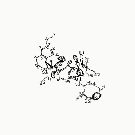 CCc1ccc2c(c1)CCC(CC)N2S(=O)(=O)c1ccc(OCC2CCOCC2)c(S(=O)(=O)NC(C)(C)C)c1